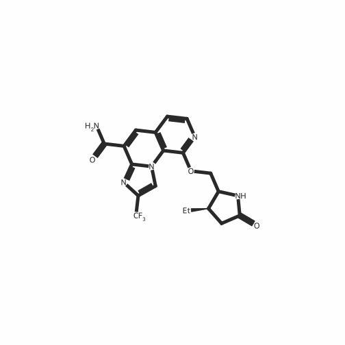 CC[C@@H]1CC(=O)NC1COc1nccc2cc(C(N)=O)c3nc(C(F)(F)F)cn3c12